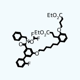 CCOC(=O)CCCOc1cccc(CCCCCCOc2cc(C(=O)N(Cc3ccccc3)OC(F)F)cc(-c3ccccc3F)c2)c1CCC(=O)OCC